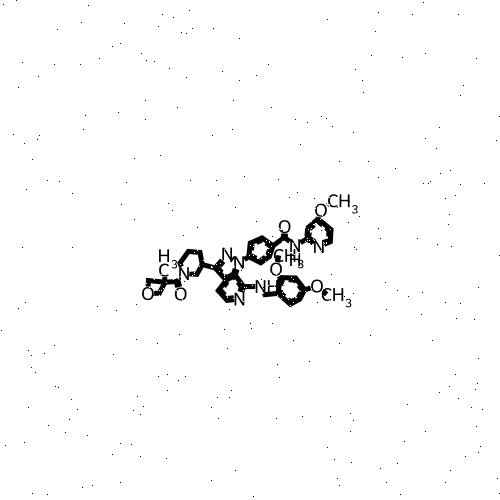 COc1ccnc(NC(=O)c2ccc(-n3nc(C4CCCN(C(=O)C5(C)COC5)C4)c4ccnc(NCc5ccc(OC)cc5OC)c43)cc2)c1